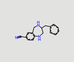 N#Cc1ccc2c(c1)CNC(Cc1ccccc1)CN2